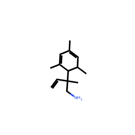 C=CC(C)(CN)C1C(C)=CC(C)=CC1C